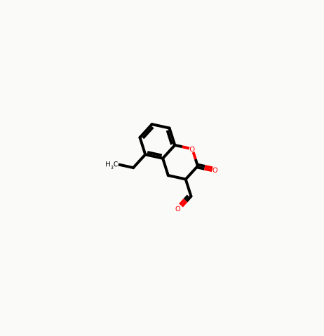 CCc1cccc2c1CC(C=O)C(=O)O2